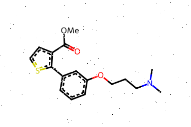 COC(=O)c1ccsc1-c1cccc(OCCCN(C)C)c1